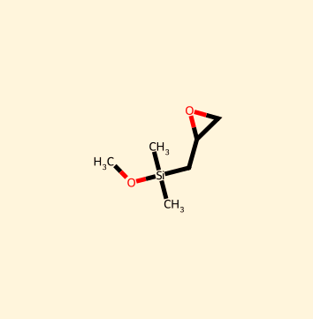 CO[Si](C)(C)CC1CO1